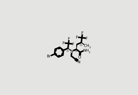 C[C@@H](C[C@@H](C(N)=O)N(CC#N)[C@@H](c1ccc(Br)cc1)C(F)(F)F)C(F)(F)F